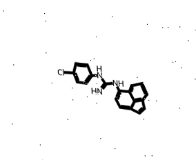 N=C(Nc1ccc(Cl)cc1)Nc1ccc2c3c(cccc13)C=C2